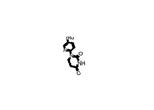 CC(C)(C)c1ccc(N2CCC(=O)NC2=O)nc1